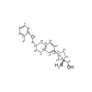 Cc1ccccc1OCC1CCc2cc([C@H]3CC[C@](N)(CO)C3)ccc2C1